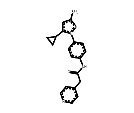 Cc1cc(C2CC2)n(-c2ccc(NC(=O)Cc3ccncc3)cc2)n1